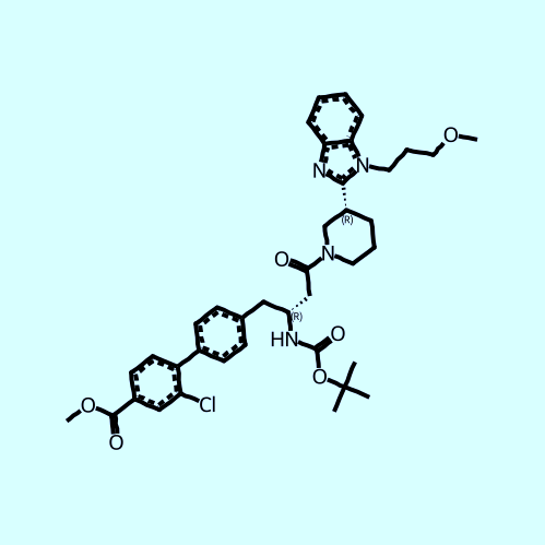 COCCCn1c([C@@H]2CCCN(C(=O)C[C@@H](Cc3ccc(-c4ccc(C(=O)OC)cc4Cl)cc3)NC(=O)OC(C)(C)C)C2)nc2ccccc21